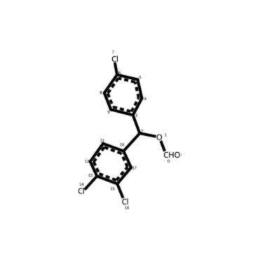 O=[C]OC(c1ccc(Cl)cc1)c1ccc(Cl)c(Cl)c1